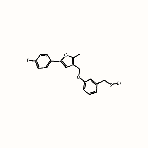 CCSCc1cccc(OCc2cc(-c3ccc(F)cc3)oc2C)c1